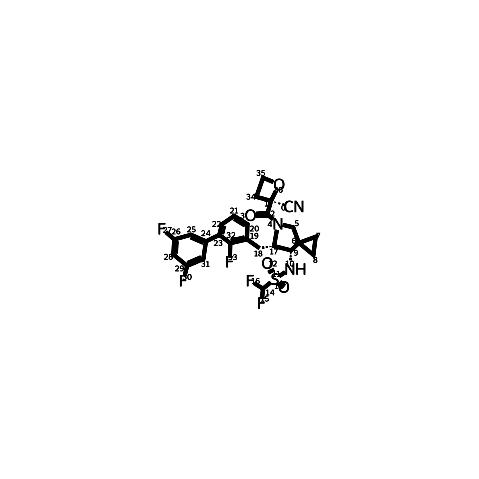 N#C[C@]1(C(=O)N2CC3(CC3)[C@H](NS(=O)(=O)C(F)F)[C@@H]2Cc2cccc(-c3cc(F)cc(F)c3)c2F)CCO1